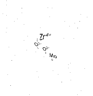 [Mo].[O-2].[O-2].[Zr+4]